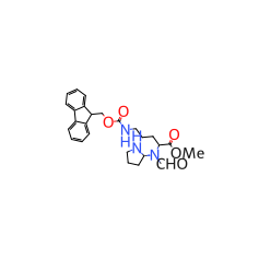 COC(=O)C(CCCNC(=O)OCC1c2ccccc2-c2ccccc21)N(C=O)[C@H]1CCCN1